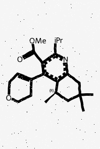 COC(=O)c1c(C(C)C)nc2c(c1C1=CCOCC1)[C@H](C)CC(C)(C)C2